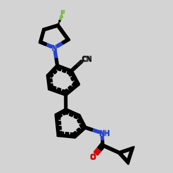 N#Cc1cc(-c2cccc(NC(=O)C3CC3)c2)ccc1N1CC[C@H](F)C1